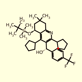 CC1(C)Cc2nc(C3CCCC3)c([C@@H](O)c3ccc(C(F)(F)F)cc3)c(C3CCCC3)c2[C@@H](O[Si](C)(C)C(C)(C)C)C1